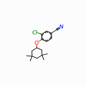 CC1(C)CC(Oc2ccc(C#N)cc2Cl)CC(C)(C)C1